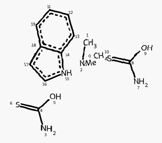 C.CNC.NC(O)=S.NC(O)=S.c1ccc2[nH]ccc2c1